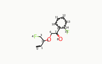 C=CC(CF)OCC(=O)c1ccccc1F